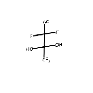 CC(=O)C(F)(F)C(O)(O)C(F)(F)F